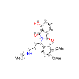 COBNCCC[C@H](c1ccc(OC)c(OC)c1)N1C(=O)c2cccc(O)c2C1=O